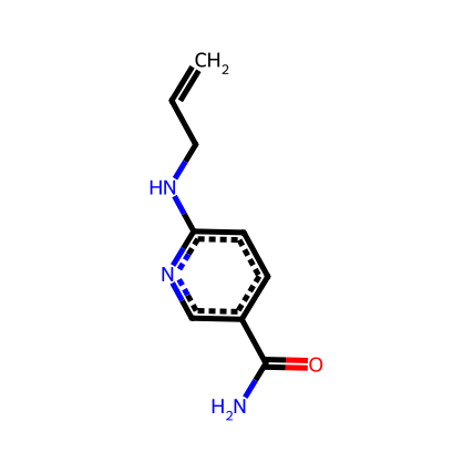 C=CCNc1ccc(C(N)=O)cn1